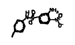 Cc1ccc(NS(=O)(=O)c2ccc([N+](=O)[O-])c(N)c2)cc1